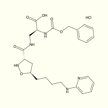 Cl.O=C(N[C@@H](CNC(=O)[C@@H]1C[C@@H](CCCCNc2ccccn2)ON1)C(=O)O)OCc1ccccc1